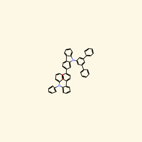 c1ccc(-c2cc(-c3ccccc3)cc(-n3c4ccccc4c4ccc(-c5ccc(-c6ccccc6N(c6ccccc6)c6ccccc6)cc5)cc43)c2)cc1